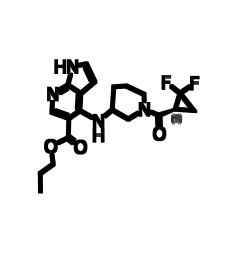 CCCOC(=O)c1cnc2[nH]ccc2c1NC1CCCN(C(=O)[C@@H]2CC2(F)F)C1